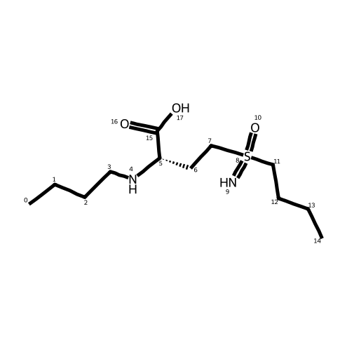 CCCCN[C@@H](CCS(=N)(=O)CCCC)C(=O)O